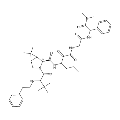 CCCC(NC(=O)[C@@H]1C2C(CN1C(=O)C(NCCc1ccccc1)C(C)(C)C)C2(C)C)C(=O)C(=O)NCC(=O)NC(C(=O)N(C)C)c1ccccc1